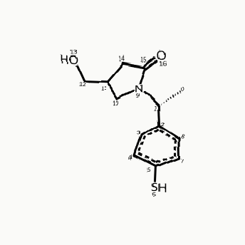 C[C@H](c1ccc(S)cc1)N1CC(CO)CC1=O